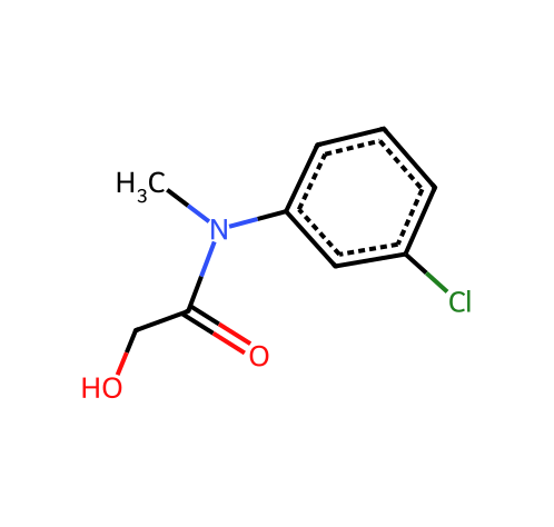 CN(C(=O)CO)c1cccc(Cl)c1